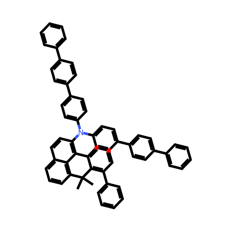 CC1(C)c2c(-c3ccccc3)cccc2-c2c(N(c3ccc(-c4ccc(-c5ccccc5)cc4)cc3)c3ccc(-c4ccc(-c5ccccc5)cc4)cc3)ccc3cccc1c23